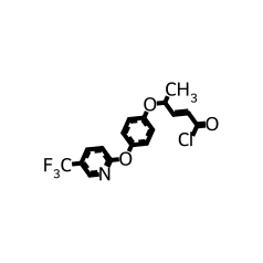 CC(C=CC(=O)Cl)Oc1ccc(Oc2ccc(C(F)(F)F)cn2)cc1